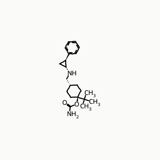 CC(C)(C)[C@]1(OC(N)=O)CC[C@H](CN[C@@H]2C[C@H]2c2ccccc2)CC1